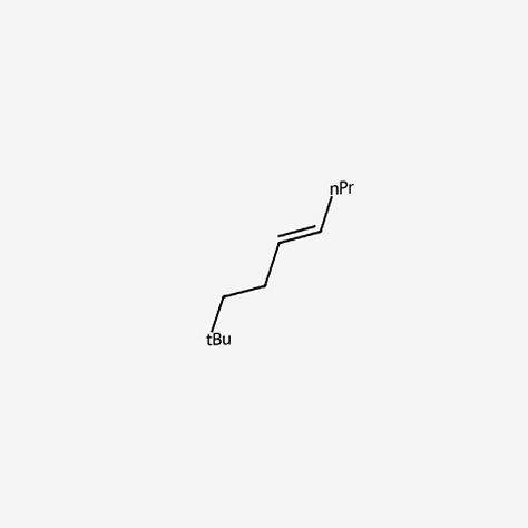 CCCC=CCCC(C)(C)C